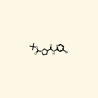 CC(C)(C)OC(=O)N1CCC(C(=O)Nc2cc(Br)ccn2)C1